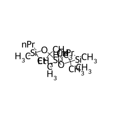 CCC[Si](C)(C)OC(C)(CC)[Si](C)(C)OC(C)(C)[Si](C)(C)CCC